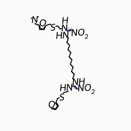 CN(C)Cc1ccc(CSCCN/C(=C/[N+](=O)[O-])NCCCCCCCCCCCCN/C(=C\[N+](=O)[O-])NCCSCc2ccco2)o1